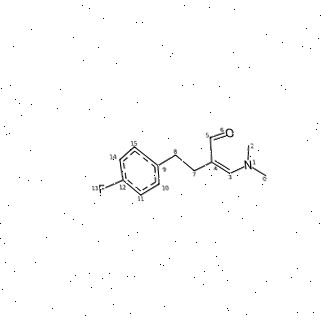 CN(C)C=C(C=O)CCc1ccc(F)cc1